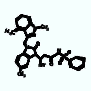 CCCC(CC(=O)NS(=O)(=O)c1ccccc1)n1c(=O)n(Cc2cn(C)c3cccc(C)c23)c2ccc(C)cc21